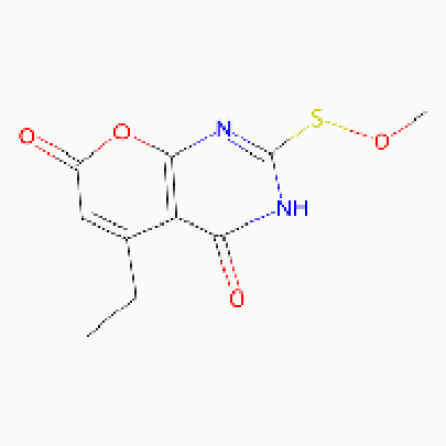 CCc1cc(=O)oc2nc(SOC)[nH]c(=O)c12